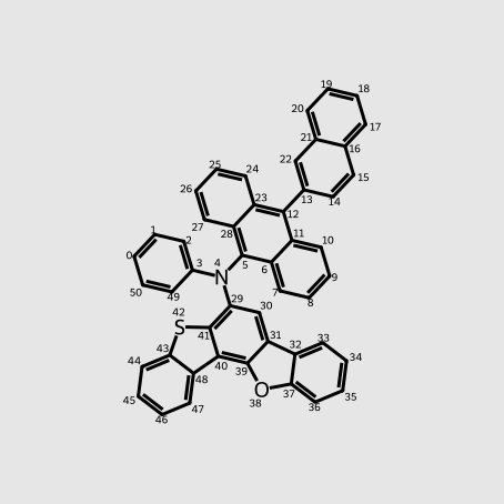 c1ccc(N(c2c3ccccc3c(-c3ccc4ccccc4c3)c3ccccc23)c2cc3c4ccccc4oc3c3c2sc2ccccc23)cc1